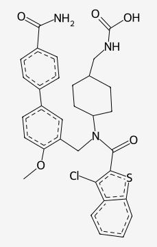 COc1ccc(-c2ccc(C(N)=O)cc2)cc1CN(C(=O)c1sc2ccccc2c1Cl)C1CCC(CNC(=O)O)CC1